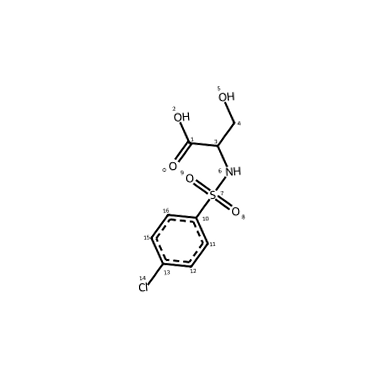 O=C(O)C(CO)NS(=O)(=O)c1ccc(Cl)cc1